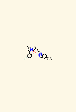 C=C(CCCn1ncc2cc(C#N)ccc21)C(=O)N1CC(C)CC1c1cccc(F)c1